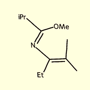 CCC(/N=C(\OC)C(C)C)=C(C)C